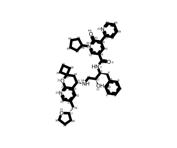 O=C(N[C@@H](Cc1ccccc1)[C@H](O)CN[C@H]1CC2(CCC2)Oc2ncc(C[C@@H]3CCCO3)cc21)c1cc(-c2ccccn2)c(=O)n(C2CCCC2)c1